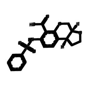 O=C(O)c1c(NS(=O)(=O)c2ccccc2)ccc2c1OC[C@@H]1OCC[C@H]21